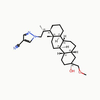 COC[C@@]1(O)CC[C@H]2[C@H](CC[C@@H]3[C@@H]2CC[C@]2(C)[C@@H]([C@@H](C)Cn4cc(C#N)cn4)CCC[C@@H]32)C1